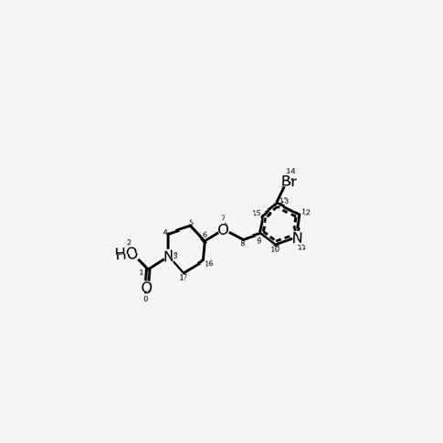 O=C(O)N1CCC(OCc2cncc(Br)c2)CC1